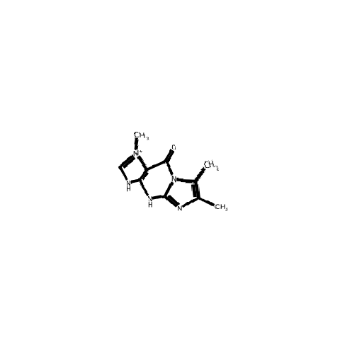 Cc1nc2[nH]c3[nH]c[n+](C)c3c(=O)n2c1C